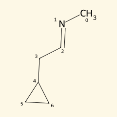 C/N=C/CC1CC1